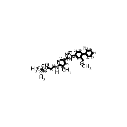 COCc1cc(-c2nc(-c3cnc(NCCC(=O)OC(C)(C)C)c(C)c3)no2)ccc1-c1ccccc1F